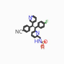 N#Cc1ccc(C(c2cccnc2)[C@@H](c2ccc(F)cc2)c2cccc(CN[SH](=O)=O)n2)cc1